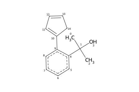 CC(C)(O)c1ccccc1C1=CC=CC1